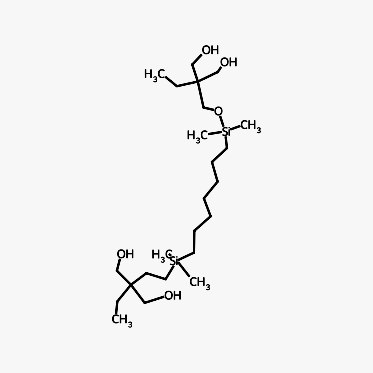 CCC(CO)(CO)CC[Si](C)(C)CCCCCCC[Si](C)(C)OCC(CC)(CO)CO